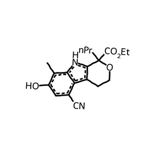 CCCC1(C(=O)OCC)OCCc2c1[nH]c1c(C)c(O)cc(C#N)c21